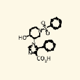 O=C(O)c1ncn([C@H]2CN(S(=O)(=O)c3ccccc3)CC[C@@H]2O)c1-c1ccccc1